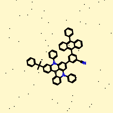 CC(C)(c1ccccc1)c1ccc2c(c1)N(c1ccccc1)c1cc(-c3cc(C#N)cc(-c4c5ccccc5c(-c5ccccc5)c5ccccc45)c3)cc3c1B2c1ccccc1N3c1ccccc1